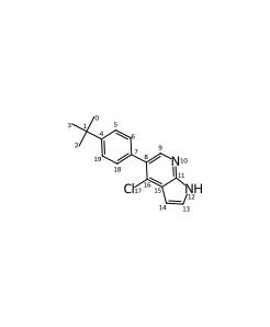 CC(C)(C)c1ccc(-c2cnc3[nH]ccc3c2Cl)cc1